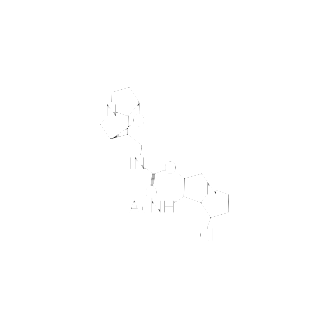 CC(=O)NC1C(OC(=O)NCC2C3CN4CCC(O3)C24)CN2CCC(Cl)C12